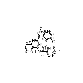 CC[C@@](C)(Nc1nc(-c2c[nH]c3ncc(Cl)cc23)nc2ccccc12)C(=O)NCC(F)F